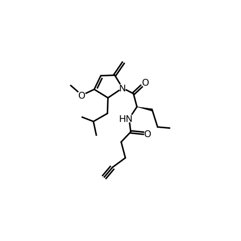 C#CCCC(=O)N[C@H](CCC)C(=O)N1C(=C)C=C(OC)C1CC(C)C